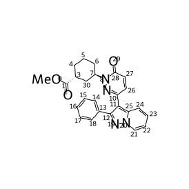 COC(=O)[C@@H]1CCC[C@@H](n2nc(-c3c(-c4ccccc4)nn4ccccc34)ccc2=O)C1